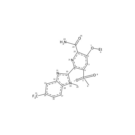 CCOc1cc(S(C)(=O)=O)c(-c2nc3cc(C(F)(F)F)ccc3n2C)nc1C(N)=O